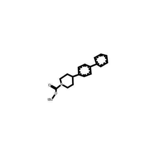 CC(C)(C)OC(=O)N1CCC(c2ccc(-c3ccccc3)cc2)CC1